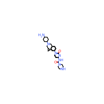 NC1CCC(N(Cc2ccc(-n3ccc(NC(=O)N4CCNCC4)nc3=O)cc2)CC2CC2)CC1